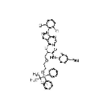 CC(C)(C)[Si](OCCOCC(Oc1ncnc2c1cnn2-c1c(Cl)cccc1Cl)C(=O)Nc1ccc(C#N)cn1)(c1ccccc1)c1ccccc1